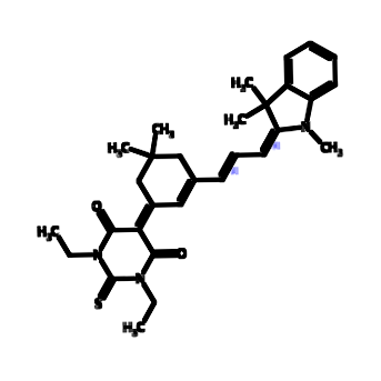 CCN1C(=O)C(=C2C=C(/C=C/C=C3/N(C)c4ccccc4C3(C)C)CC(C)(C)C2)C(=O)N(CC)C1=S